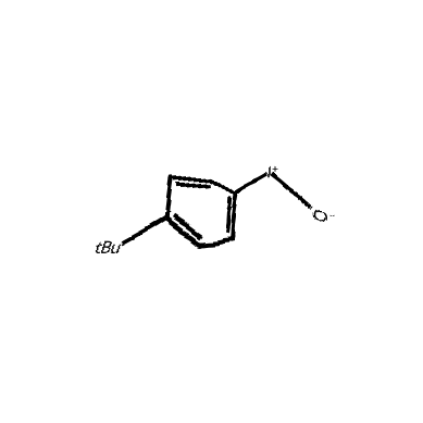 CC(C)(C)c1ccc([I+][O-])cc1